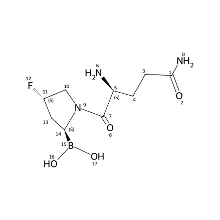 NC(=O)CC[C@H](N)C(=O)N1C[C@@H](F)C[C@@H]1B(O)O